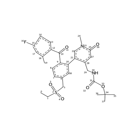 CCS(=O)(=O)Cc1ccc(C(=O)c2ccc(F)cc2C)c(-c2cn(C)c(=O)cc2CNC(=O)OC(C)(C)C)c1